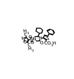 Cc1noc(C)c1S(=O)(=O)N1CC(=O)N(c2cc(-c3ccccc3)sc2C(=O)O)C(C2CCCCC2)C1